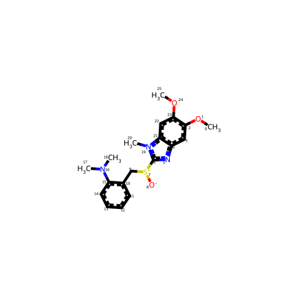 COc1cc2nc([S+]([O-])Cc3ccccc3N(C)C)n(C)c2cc1OC